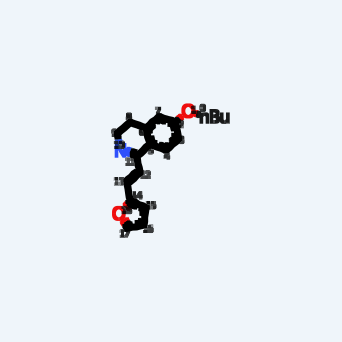 CCCCOc1ccc2c(c1)CCN=C2/C=C/c1ccco1